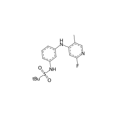 Cc1cnc(F)cc1Nc1cccc(NS(=O)(=O)C(C)(C)C)c1